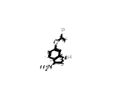 Nc1c[nH]c2cc(OC(F)F)ccc12